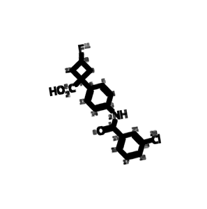 O=C(Nc1ccc(C2(C(=O)O)CC(F)C2)cc1)c1cccc(Cl)c1